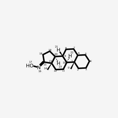 C[C@]12CCCCC1CC[C@@H]1[C@@H]2CC[C@]2(C)/C(=N/O)CC[C@@H]12